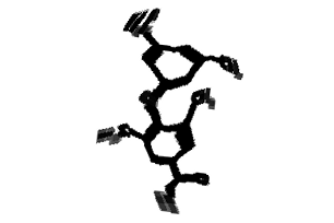 CCC(=O)c1cc(C)c(Oc2cc(C)cc(C)c2)c(C)c1